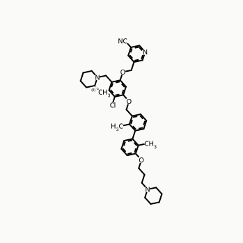 Cc1c(COc2cc(OCc3cncc(C#N)c3)c(CN3CCCC[C@H]3C)cc2Cl)cccc1-c1cccc(OCCCN2CCCCC2)c1C